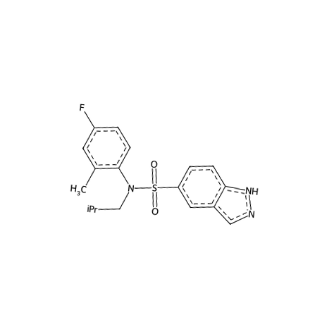 Cc1cc(F)ccc1N(CC(C)C)S(=O)(=O)c1ccc2[nH]ncc2c1